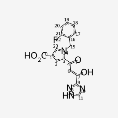 O=C(O)c1cc(C(=O)C=C(O)c2nc[nH]n2)n(Cc2ccccc2F)c1